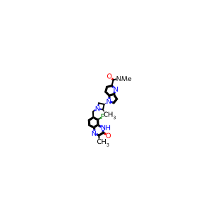 CNC(=O)c1ccc2c(ccn2[C@H]2CN(Cc3ccc4nc(C)c(=O)[nH]c4c3F)[C@@H]2C)n1